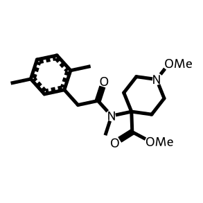 COC(=O)C1(N(C)C(=O)Cc2cc(C)ccc2C)CCN(OC)CC1